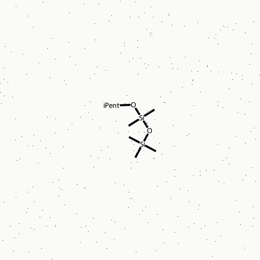 CCCC(C)O[Si](C)(C)O[Si](C)(C)C